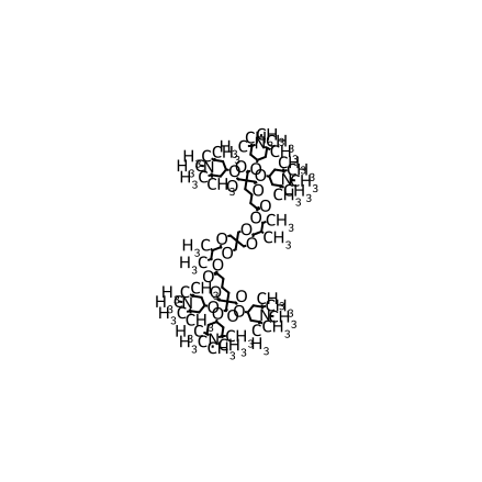 CC(OC(=O)CCCC(C(=O)OC1CC(C)(C)N(C)C(C)(C)C1)(C(=O)OC1CC(C)(C)N(C)C(C)(C)C1)C(=O)OC1CC(C)(C)N(C)C(C)(C)C1)C(C)C1OCC2(CO1)COC(C(C)C(C)OC(=O)CCCC(C(=O)OC1CC(C)(C)N(C)C(C)(C)C1)(C(=O)OC1CC(C)(C)N(C)C(C)(C)C1)C(=O)OC1CC(C)(C)N(C)C(C)(C)C1)OC2